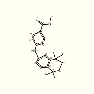 COC(=O)c1cnc(Nc2ccc3c(c2)C(C)(C)CCC3(C)C)nc1